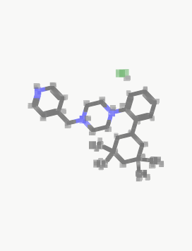 CC1(C)CC(c2ccccc2N2CCN(Cc3ccncc3)CC2)CC(C)(C)C1.Cl